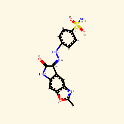 Cc1nc2cc3c(cc2o1)NC(=O)C3=NNc1ccc(S(N)(=O)=O)cc1